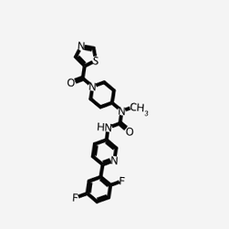 CN(C(=O)Nc1ccc(-c2cc(F)ccc2F)nc1)C1CCN(C(=O)c2cncs2)CC1